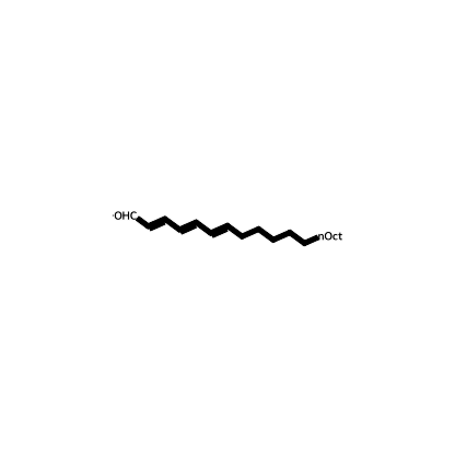 CCCCCCCCCCCCCC=CC=CC=C[C]=O